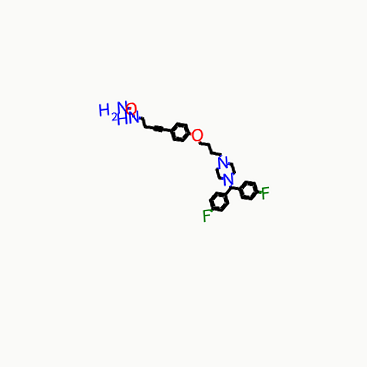 NONCCC#Cc1ccc(OCCCCN2CCN(C(c3ccc(F)cc3)c3ccc(F)cc3)CC2)cc1